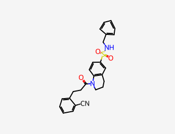 N#Cc1ccccc1CCC(=O)N1CCCc2cc(S(=O)(=O)NCc3ccccc3)ccc21